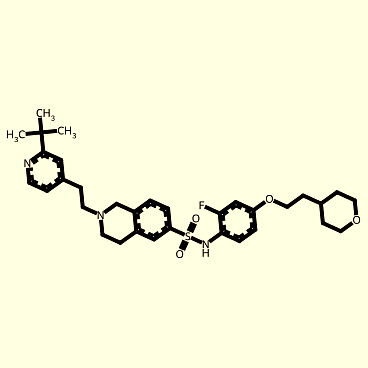 CC(C)(C)c1cc(CCN2CCc3cc(S(=O)(=O)Nc4ccc(OCCC5CCOCC5)cc4F)ccc3C2)ccn1